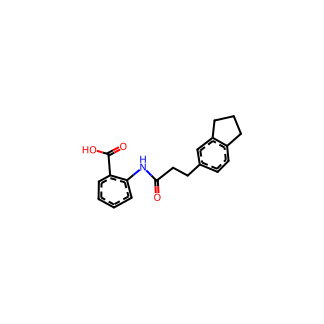 O=C(CCc1ccc2c(c1)CCC2)Nc1ccccc1C(=O)O